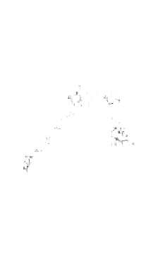 CN(CCCC[C@H](NC(=O)COCCOCCOCCOCCN=[N+]=[N-])C(=O)O)C(=O)CCCC[C@@H]1SC[C@@H]2NC(=O)N[C@@H]21